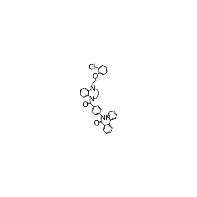 O=C(Nc1ccc(C(=O)N2CCCN(CCOc3ccccc3Cl)c3ccccc32)cc1)c1ccccc1-c1ccccc1